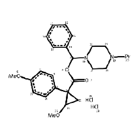 COc1ccc(C2(C(=O)OC(c3ccccc3)N3CCN(C(C)C)CC3)CC2OC)cc1.Cl.Cl